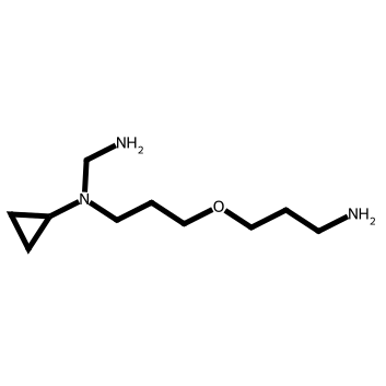 NCCCOCCCN(CN)C1CC1